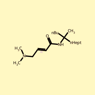 CCCCCCCC(C)(CCCC)NC(=O)/C=C/CN(C)C